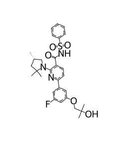 C[C@@H]1CN(c2nc(-c3cc(F)cc(OCC(C)(C)O)c3)ccc2C(=O)NS(=O)(=O)c2ccccc2)C(C)(C)C1